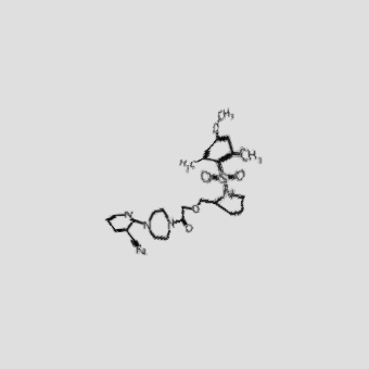 COc1cc(C)c(S(=O)(=O)N2CCCC2COCC(=O)N2CCN(c3ncccc3C#N)CC2)c(C)c1